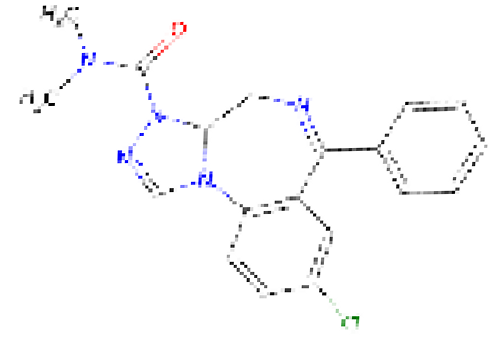 CN(C)C(=O)N1N=CN2c3ccc(Cl)cc3C(c3ccccc3)=NCC12